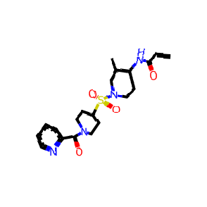 C=CC(=O)NC1CCN(S(=O)(=O)C2CCN(C(=O)c3ccccn3)CC2)CC1C